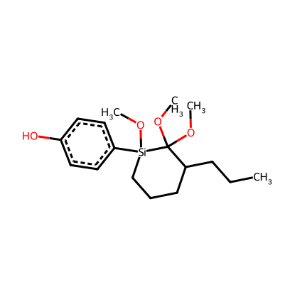 CCCC1CCC[Si](OC)(c2ccc(O)cc2)C1(OC)OC